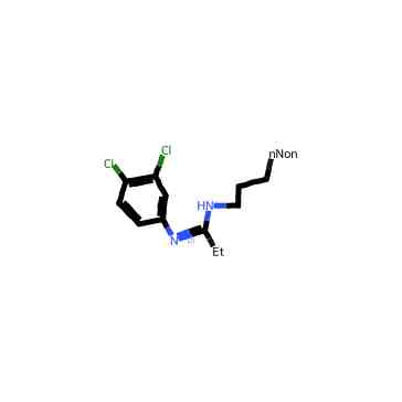 CCCCCCCCCCCCN/C(CC)=N\c1ccc(Cl)c(Cl)c1